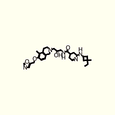 CCC1(C)CC(NC2CC(C(=O)NC[C@H](O)CN3CCc4c(ccc(OCc5cnco5)c4C)C3)CC=N2)C1